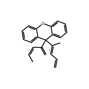 C=C/C=C(\C)C1(C(=C)/C=C\C)c2ccccc2Oc2ccccc21